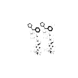 O=C(Nc1ncc(S(=O)(=O)c2nnn[nH]2)s1)Nc1ccc(Cl)cc1C(=O)C1CCCC1.O=C(Nc1ncc(S(=O)(=O)c2nnn[nH]2)s1)Nc1ccccc1C(=O)C1CCCC1